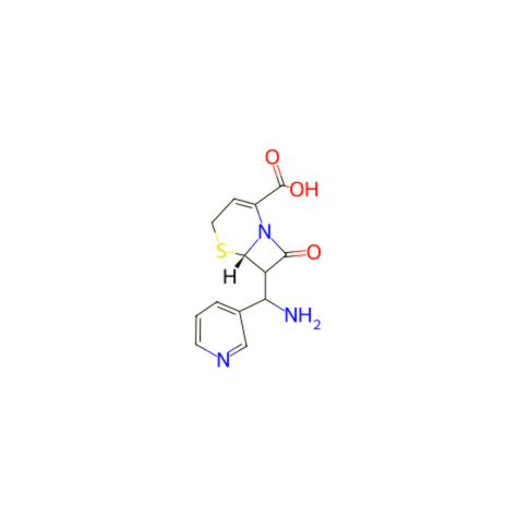 NC(c1cccnc1)C1C(=O)N2C(C(=O)O)=CCS[C@@H]12